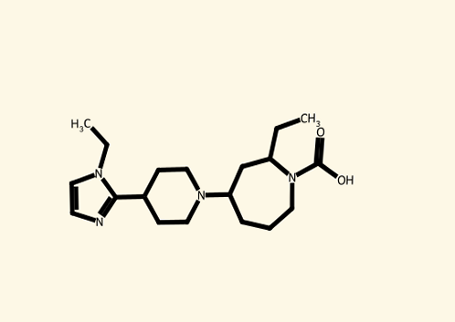 CCC1CC(N2CCC(c3nccn3CC)CC2)CCCN1C(=O)O